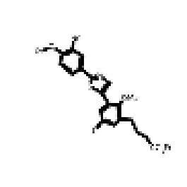 [C-]#[N+]c1cc(-c2ncc(-c3cc(F)cc(CCCC(=O)OCC)c3OC)s2)ccc1OC(C)C